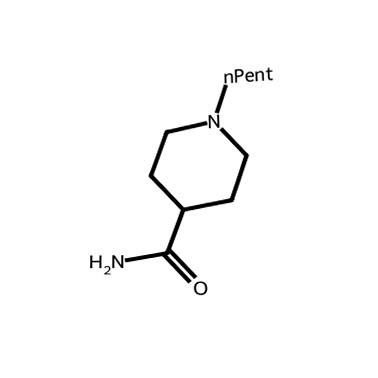 CCCCCN1CCC(C(N)=O)CC1